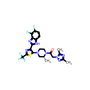 Cc1nc(C)n(CC(=O)N2CCN(c3sc(C(F)(F)F)nc3-c3nc4c(F)c(F)ccc4[nH]3)C[C@H]2C)n1